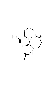 CC(=O)N[C@H]1CCC(=O)N2CCC[C@@H](C(=O)O)N2C1=O